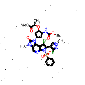 COC(=O)C(C)O[C@@H]1C[C@@H](n2c(=O)n(C)c3cnc4c(c(Br)c(-c5cn(C)nc5F)n4S(=O)(=O)c4ccccc4)c32)C[C@@H]1NC(=O)OC(C)(C)C